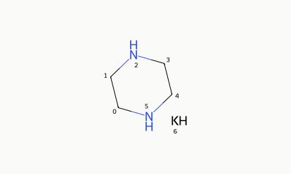 C1CNCCN1.[KH]